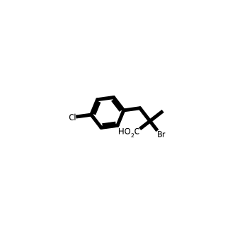 CC(Br)(Cc1ccc(Cl)cc1)C(=O)O